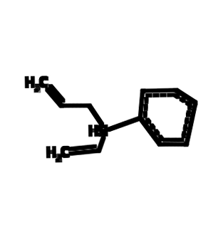 C=CC[SiH](C=C)c1ccccc1